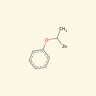 C[CH]([Zn])Oc1ccccc1